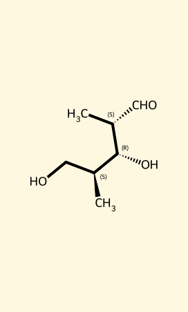 C[C@H](C=O)[C@H](O)[C@@H](C)CO